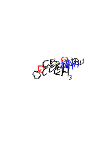 Cc1cc(C(Oc2ccccc2)(C(=O)O)C(F)(F)F)ccc1NC(=O)NC(C)(C)C